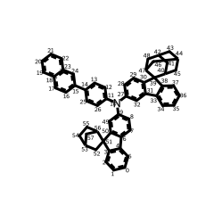 c1ccc2c(c1)-c1ccc(N(c3ccc(-c4ccc5ccccc5c4)cc3)c3ccc4c(c3)-c3ccccc3C43C4CC5CC(C4)CC3C5)cc1C21CC2CCC1C2